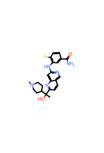 CN1CCC(C(C)(O)c2ccc3cnc(Nc4cc(C(N)=O)ccc4F)cc3n2)CC1